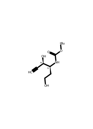 C#C[C@@H](O)[C@H](CCO)NC(=O)OC(C)(C)C